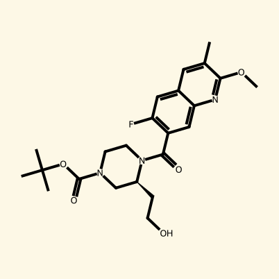 COc1nc2cc(C(=O)N3CCN(C(=O)OC(C)(C)C)C[C@@H]3CCO)c(F)cc2cc1C